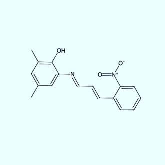 Cc1cc(C)c(O)c(/N=C/C=C/c2ccccc2[N+](=O)[O-])c1